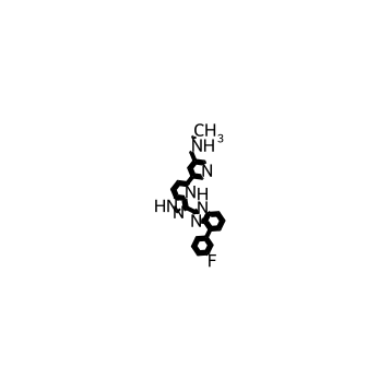 CCNCc1cncc(-c2ccc3[nH]nc(-c4nc5c(-c6cccc(F)c6)cccc5[nH]4)c3n2)c1